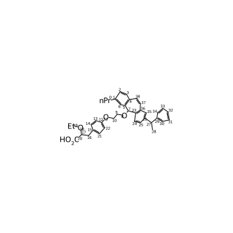 CCCc1ccc2c(c1)C(OCCOc1ccc(CC(OCC)C(=O)O)cc1)c1ccc(C(C)c3ccccc3)cc1C=C2